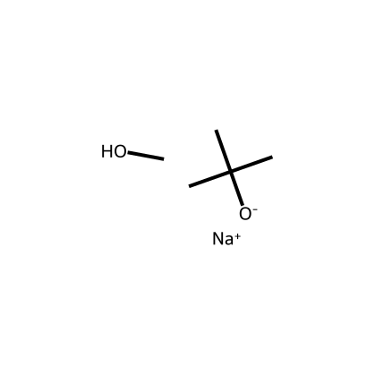 CC(C)(C)[O-].CO.[Na+]